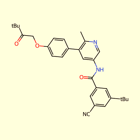 Cc1ncc(NC(=O)c2cc(C#N)cc(C(C)(C)C)c2)cc1-c1ccc(OCC(=O)C(C)(C)C)cc1